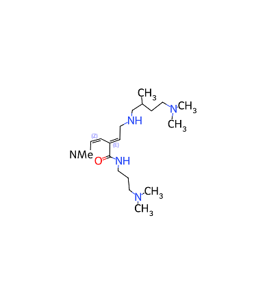 CN/C=C\C(=C/CNCC(C)CCN(C)C)C(=O)NCCCN(C)C